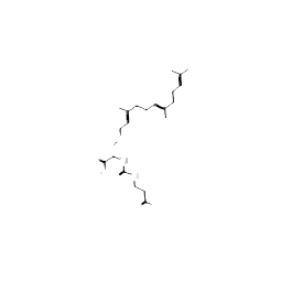 CC(C)=CCCC(C)=CCCC(C)=CCSC[C@H](NC(=S)NCCC(=O)O)C(=O)O